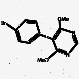 COc1ncnc(OC)c1-c1ccc(Br)cc1